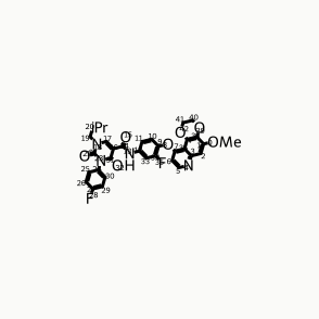 COc1cc2nccc(Oc3ccc(NC(=O)c4cn(CC(C)C)c(=O)n(-c5ccc(F)cc5)c4=O)cc3F)c2c2c1OCCO2